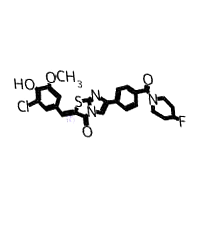 COc1cc(/C=c2\sc3nc(-c4ccc(C(=O)N5CCC(F)CC5)cc4)cn3c2=O)cc(Cl)c1O